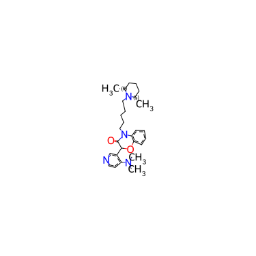 C[C@@H]1CCC[C@H](C)N1CCCCCN1C(=O)C(c2cnccc2N(C)C)Oc2ccccc21